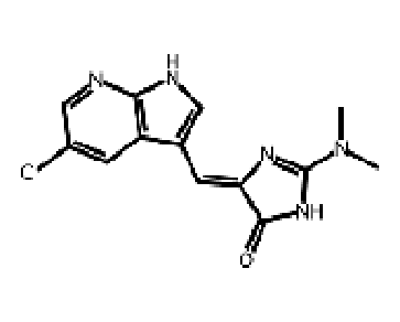 CN(C)C1=NC(=Cc2c[nH]c3ncc(Cl)cc23)C(=O)N1